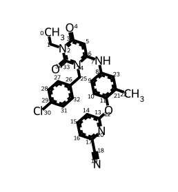 CCn1c(=O)cc(Nc2ccc(Oc3cccc(C#N)n3)c(C)c2)n(Cc2ccc(Cl)cc2)c1=O